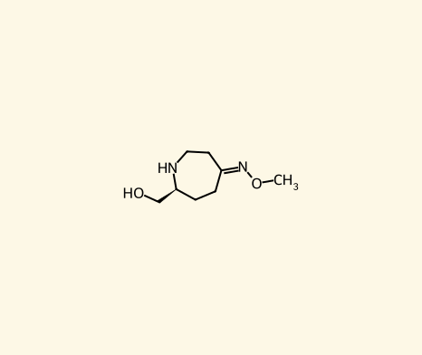 CON=C1CCN[C@H](CO)CC1